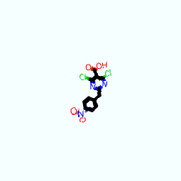 O=C(O)c1c(Cl)nc(Cc2ccc([N+](=O)[O-])cc2)nc1Cl